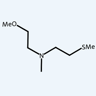 COCCN(C)CCSC